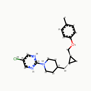 Cc1ccc(OC[C@H]2C[C@@H]2CC2CCN(c3ncc(Cl)cn3)CC2)cc1